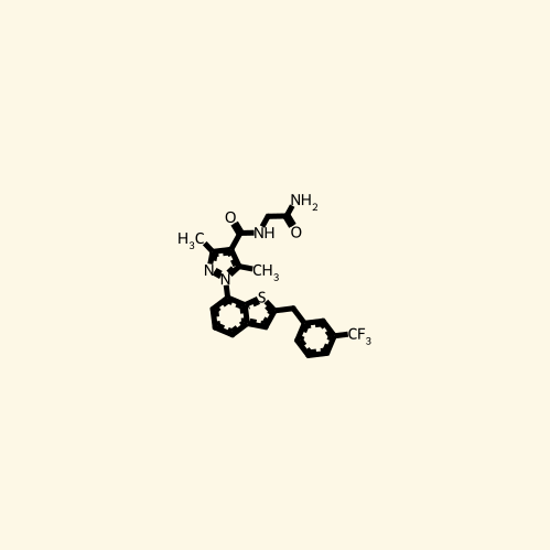 Cc1nn(-c2cccc3cc(Cc4cccc(C(F)(F)F)c4)sc23)c(C)c1C(=O)NCC(N)=O